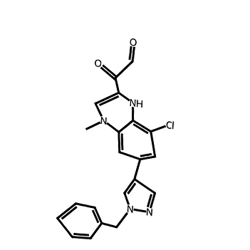 CN1C=C(C(=O)C=O)Nc2c(Cl)cc(-c3cnn(Cc4ccccc4)c3)cc21